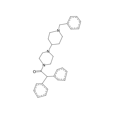 O=C(C(c1ccccc1)c1ccccc1)N1CCN(C2CCN(Cc3ccccc3)CC2)CC1